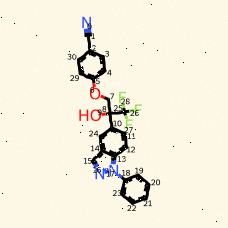 N#Cc1ccc(OCC(O)(c2ccc3c(cnn3-c3ccccc3)c2)C(F)(F)F)cc1